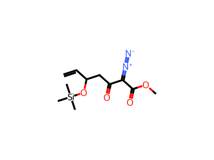 C=CC(CC(=O)C(=[N+]=[N-])C(=O)OC)O[Si](C)(C)C